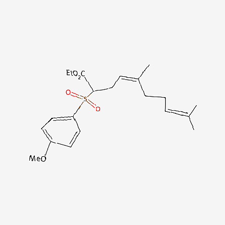 CCOC(=O)C(CC=C(C)CCC=C(C)C)S(=O)(=O)c1ccc(OC)cc1